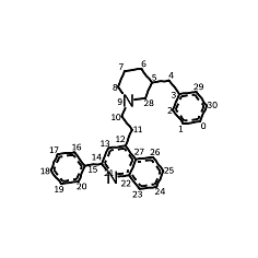 c1ccc(CC2CCCN(CCc3cc(-c4ccccc4)nc4ccccc34)C2)cc1